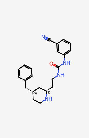 N#Cc1cccc(NC(=O)NCC[C@@H]2C[C@@H](Cc3ccccc3)CCN2)c1